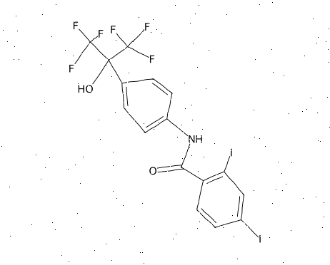 O=C(Nc1ccc(C(O)(C(F)(F)F)C(F)(F)F)cc1)c1ccc(I)cc1I